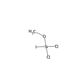 CO[Si](Cl)(Cl)I